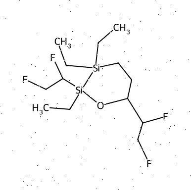 CC[Si]1(CC)CCC(C(F)CF)O[Si]1(CC)C(F)CF